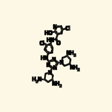 NC1CC(N)CN(c2nc(Nc3ccc(NC(=O)c4cc(Cl)cnc4O)c(Cl)c3)nc(N3CC(N)CC(N)C3)n2)C1